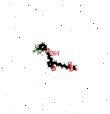 CC(C)OC(=O)CCCC=CCC1=C(C=CC(O)COc2cccc(C(F)(F)F)c2)CCC1=O